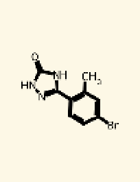 Cc1cc(Br)ccc1-c1n[nH]c(=O)[nH]1